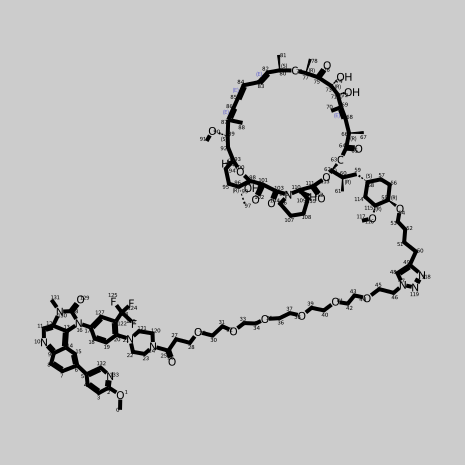 COc1ccc(-c2ccc3ncc4c(c3c2)n(-c2ccc(N3CCN(C(=O)CCOCCOCCOCCOCCOCCOCCn5cc(CCCCO[C@@H]6CC[C@@H](C[C@@H](C)[C@@H]7CC(=O)[C@H](C)/C=C(\C)[C@@H](O)[C@@H](O)C(=O)[C@H](C)C[C@H](C)/C=C/C=C/C=C(\C)[C@@H](OC)C[C@@H]8CC[C@@H](C)[C@@](O)(O8)C(=O)C(=O)N8CCCC[C@H]8C(=O)O7)C[C@H]6OC)nn5)CC3)c(C(F)(F)F)c2)c(=O)n4C)cn1